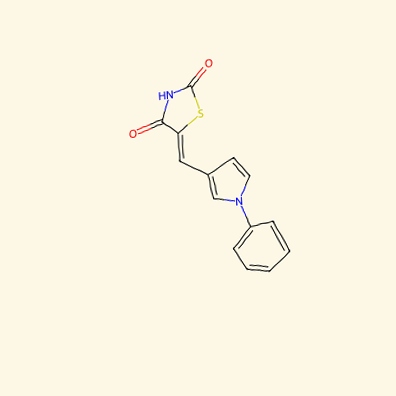 O=C1NC(=O)C(=Cc2ccn(-c3ccccc3)c2)S1